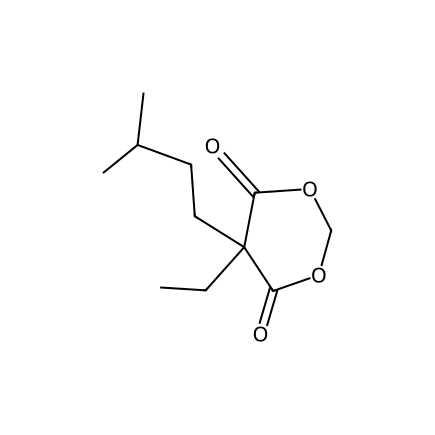 CCC1(CCC(C)C)C(=O)OCOC1=O